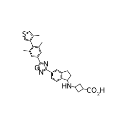 Cc1cscc1-c1c(C)cc(-c2nc(-c3ccc4c(c3)CCC4NC3CC(C(=O)O)C3)no2)cc1C